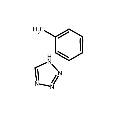 Cc1ccccc1.c1nnn[nH]1